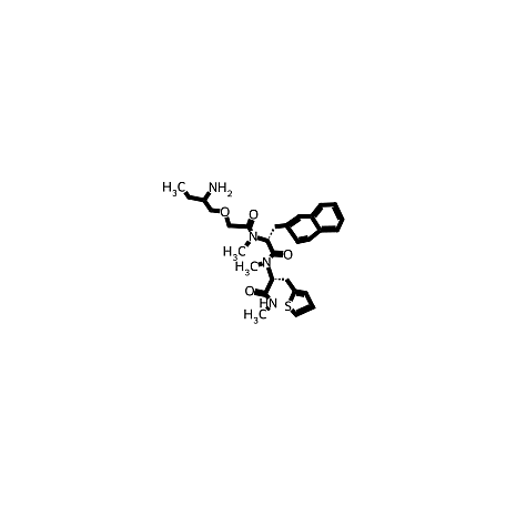 CCC(N)COCC(=O)N(C)[C@H](Cc1ccc2ccccc2c1)C(=O)N(C)[C@H](Cc1cccs1)C(=O)NC